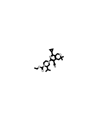 CCOC(=O)N1CCN(c2nc(C3CC3)c3c(c2C#N)CC(C)(C)OC3)CC1C(C)C